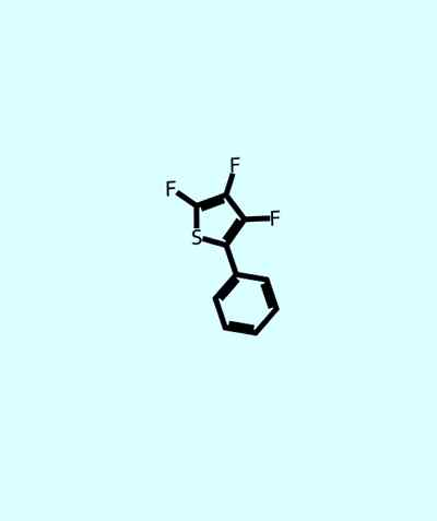 Fc1sc(-c2ccccc2)c(F)c1F